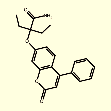 CCC(CC)(Oc1ccc2c(-c3ccccc3)cc(=O)oc2c1)C(N)=O